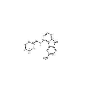 Nc1cc2c(cn1)[nH]c1nccc(OC[C@@H]3CCCNC3)c12